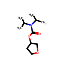 CC(C)N(C(=O)OC1CCOC1)C(C)C